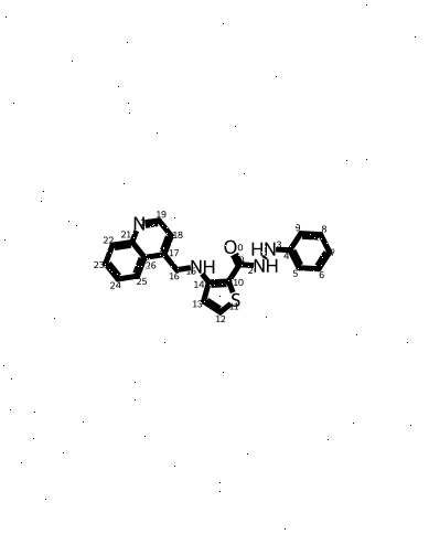 O=C(NNc1ccccc1)c1sccc1NCc1ccnc2ccccc12